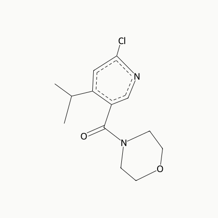 CC(C)c1cc(Cl)ncc1C(=O)N1CCOCC1